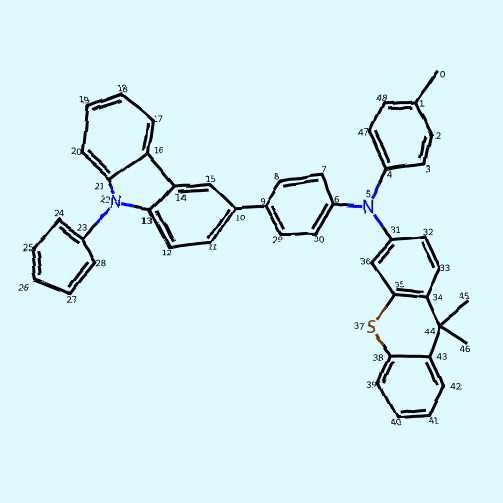 Cc1ccc(N(c2ccc(-c3ccc4c(c3)c3ccccc3n4-c3ccccc3)cc2)c2ccc3c(c2)Sc2ccccc2C3(C)C)cc1